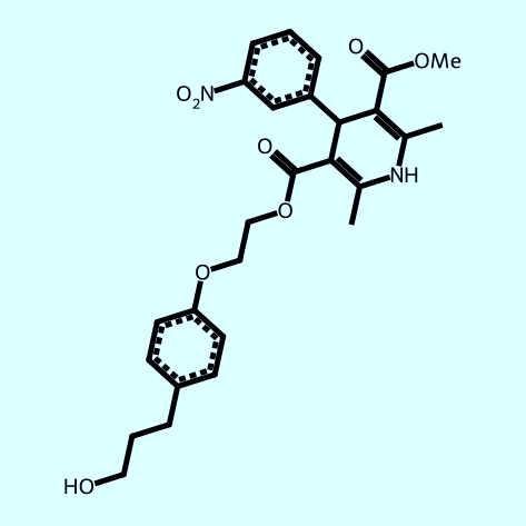 COC(=O)C1=C(C)NC(C)=C(C(=O)OCCOc2ccc(CCCO)cc2)C1c1cccc([N+](=O)[O-])c1